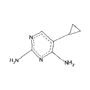 Nc1ncc(C2CC2)c(N)n1